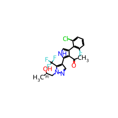 CC(=O)c1c(-c2c(F)cccc2Cl)c[nH]c1-c1cnn(C[C@@H](C)O)c1C(F)(F)F